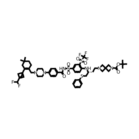 CC1(C)CCC(CN2CCN(c3ccc(C(=O)NS(=O)(=O)c4ccc(N[C@H](CCN5CC6(C5)CN(C(=O)OC(C)(C)C)C6)CSc5ccccc5)c(S(=O)(=O)C(F)(F)F)c4)cc3)CC2)=C(C23CC(C(F)F)(C2)C3)C1